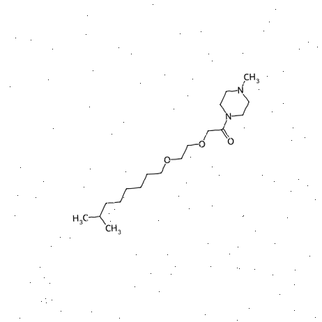 CC(C)CCCCCCOCCOCC(=O)N1CCN(C)CC1